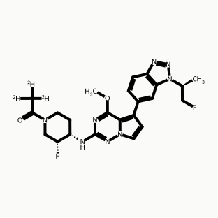 [2H]C([2H])([2H])C(=O)N1CC[C@H](Nc2nc(OC)c3c(-c4ccc5nnn([C@@H](C)CF)c5c4)ccn3n2)[C@H](F)C1